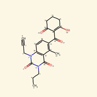 C#CCn1c(=O)n(CCC)c(=O)c2c(C)c(C(=O)C3=C(O)CCCC3=O)ccc21